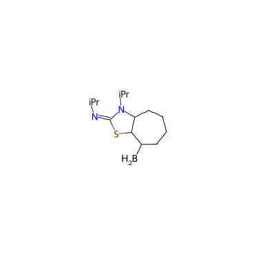 BC1CCCCC2C1S/C(=N/C(C)C)N2C(C)C